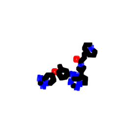 Cc1cc(Nc2ncnn3ccc(C4CN(C(=O)/C=C/C56CCCN5CCC6)C4)c23)ccc1Oc1ccn2ncnc2c1